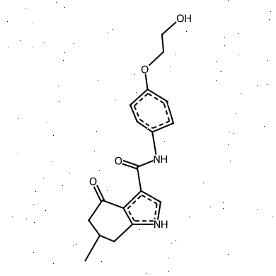 CC1CC(=O)c2c(C(=O)Nc3ccc(OCCO)cc3)c[nH]c2C1